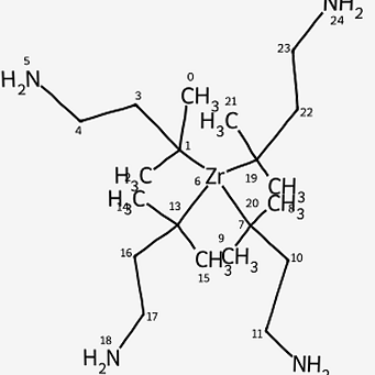 C[C](C)(CCN)[Zr]([C](C)(C)CCN)([C](C)(C)CCN)[C](C)(C)CCN